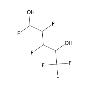 OC(F)C(F)C(F)C(O)C(F)(F)F